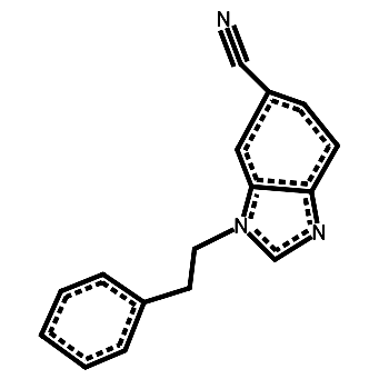 N#Cc1ccc2ncn(CCc3ccccc3)c2c1